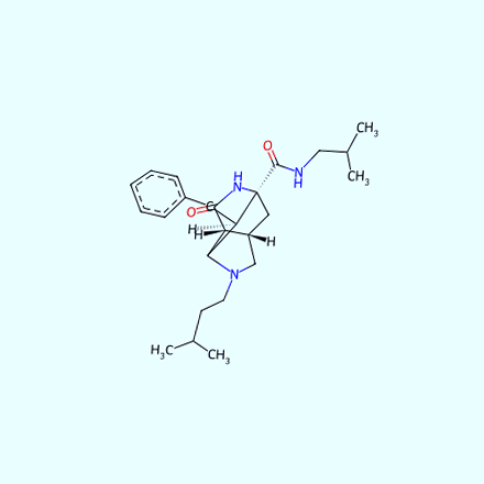 CC(C)CCN1C[C@H]2C[C@]3(C(=O)NCC(C)C)NC(=O)[C@H]2C1[C@H]3Cc1ccccc1